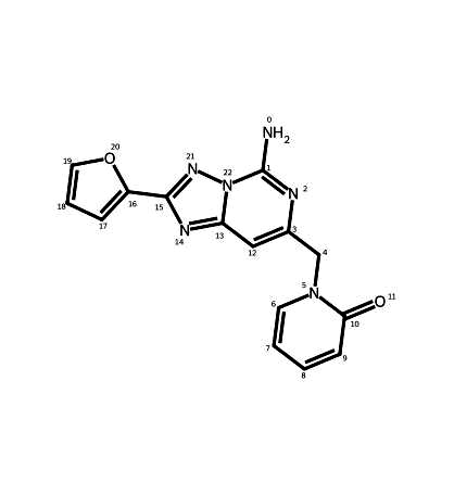 Nc1nc(Cn2ccccc2=O)cc2nc(-c3ccco3)nn12